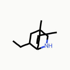 CCC1CC2(C)CNC1C=C2C